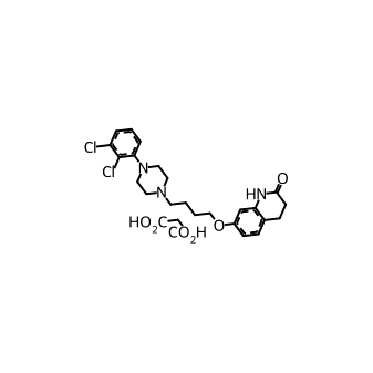 O=C(O)CC(=O)O.O=C1CCc2ccc(OCCCCN3CCN(c4cccc(Cl)c4Cl)CC3)cc2N1